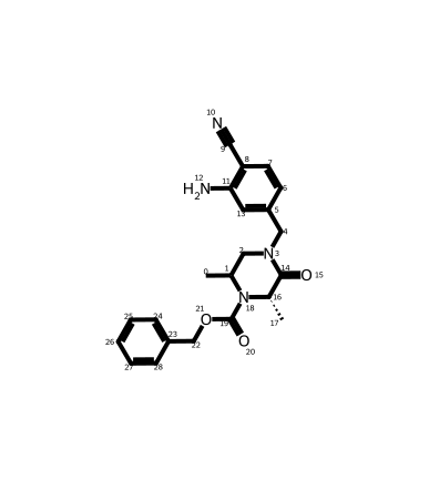 CC1CN(Cc2ccc(C#N)c(N)c2)C(=O)[C@H](C)N1C(=O)OCc1ccccc1